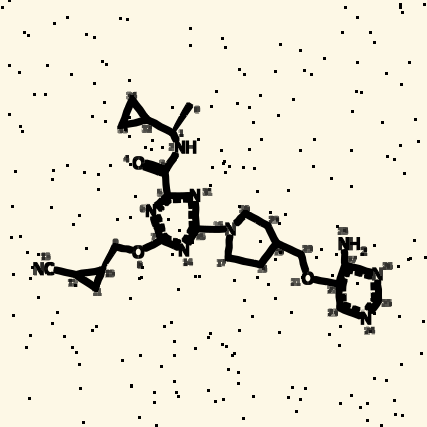 C[C@@H](NC(=O)c1nc(OC[C@H]2CC2C#N)nc(N2CCC(COc3cncnc3N)CC2)n1)C1CC1